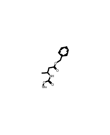 CC(CC(=O)OCc1ccccc1)NC(=O)OC(C)(C)C